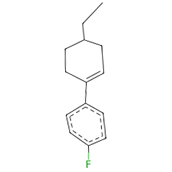 CCC1CC=C(c2ccc(F)cc2)CC1